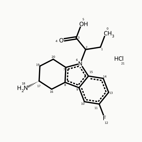 CCC(C(=O)O)n1c2c(c3cc(F)ccc31)C[C@H](N)CC2.Cl